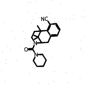 CC12CCN(C(=O)N3CCCCC3)C(Cc3cccc(C#N)c31)C2(C)C